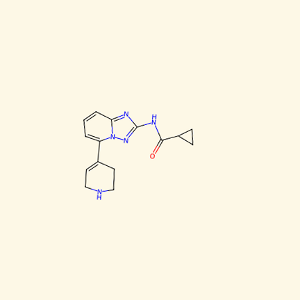 O=C(Nc1nc2cccc(C3=CCNCC3)n2n1)C1CC1